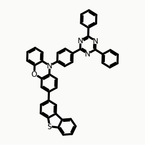 c1ccc(-c2nc(-c3ccccc3)nc(-c3ccc(N4c5ccccc5Oc5cc(-c6ccc7sc8ccccc8c7c6)ccc54)cc3)n2)cc1